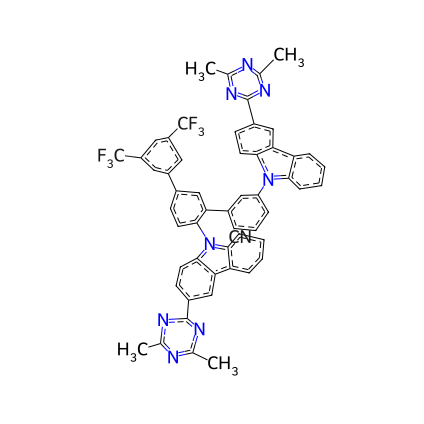 Cc1nc(C)nc(-c2ccc3c(c2)c2ccccc2n3-c2ccc(C#N)c(-c3cc(-c4cc(C(F)(F)F)cc(C(F)(F)F)c4)ccc3-n3c4ccccc4c4cc(-c5nc(C)nc(C)n5)ccc43)c2)n1